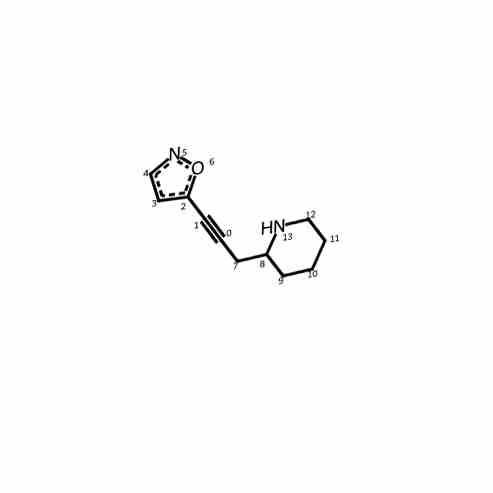 C(#Cc1ccno1)CC1CCCCN1